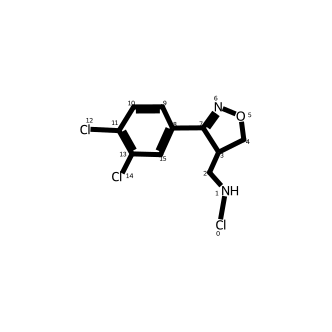 ClNCC1CON=C1c1ccc(Cl)c(Cl)c1